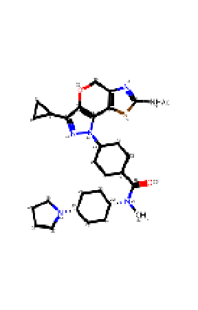 CC(=O)Nc1nc2c(s1)-c1c(c(C3CC3)nn1C1CCC(C(=O)N(C)[C@H]3CC[C@@H](N4CCCC4)CC3)CC1)OC2